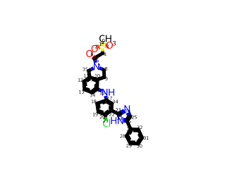 CS(=O)(=O)CC(=O)N1CCc2c(cccc2Nc2ccc(Cl)c(-c3ncc(-c4ccccc4)[nH]3)c2)C1